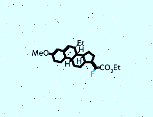 CCOC(=O)C(F)=C1CC[C@H]2[C@@H]3[C@@H](CC)C=C4C=C(OC)CC[C@]4(C)[C@H]3CC[C@]12C